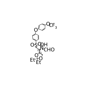 CCC1(CC)OC[C@H]([C@@H](CS(=O)(=O)c2ccc(Oc3ccc(OC(F)(F)F)cc3)cc2)N(O)C=O)O1